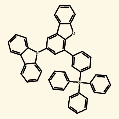 c1ccc([Si](c2ccccc2)(c2ccccc2)c2cccc(-c3cc(-n4c5ccccc5c5ccccc54)cc4c3oc3ccccc34)c2)cc1